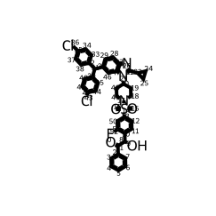 O=C(c1ccccc1)C(O)c1ccc(S(=O)(=O)N2CCC(n3c(C4CC4)nc4ccc(C(c5ccc(Cl)cc5)c5ccc(Cl)cc5)cc43)CC2)cc1F